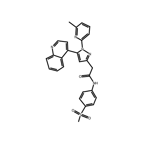 Cc1cccc(-n2nc(CC(=O)Nc3ccc(S(C)(=O)=O)cc3)cc2-c2ccnc3ccccc23)n1